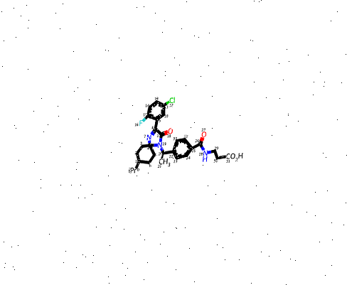 CC(C)C1CCC2(CC1)N=C(c1cc(Cl)ccc1F)C(=O)N2[C@H](C)c1ccc(C(=O)NCCC(=O)O)cc1